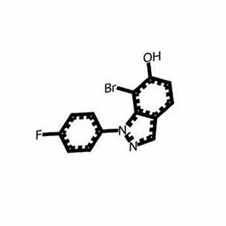 Oc1ccc2cnn(-c3ccc(F)cc3)c2c1Br